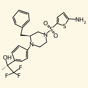 C[C@](O)(c1ccc(N2CCN(S(=O)(=O)c3ccc(N)s3)C[C@@H]2Cc2ccccc2)cc1)C(F)(F)F